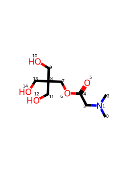 CN(C)CC(=O)OCC(CO)(CO)CO